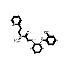 CN(CCc1ccccn1)C(=O)CS[C@@H]1CCCC[C@H]1Sc1ccccc1Cl